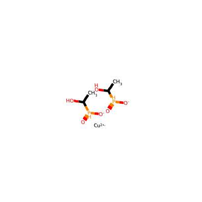 CC(O)[PH](=O)[O-].CC(O)[PH](=O)[O-].[Cu+2]